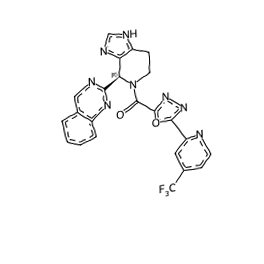 O=C(c1nnc(-c2cc(C(F)(F)F)ccn2)o1)N1CCc2[nH]cnc2[C@@H]1c1ncc2ccccc2n1